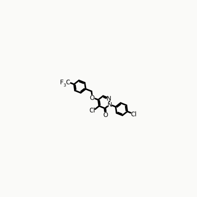 O=c1c(Cl)c(OCc2ccc(C(F)(F)F)cc2)cnn1-c1ccc(Cl)cc1